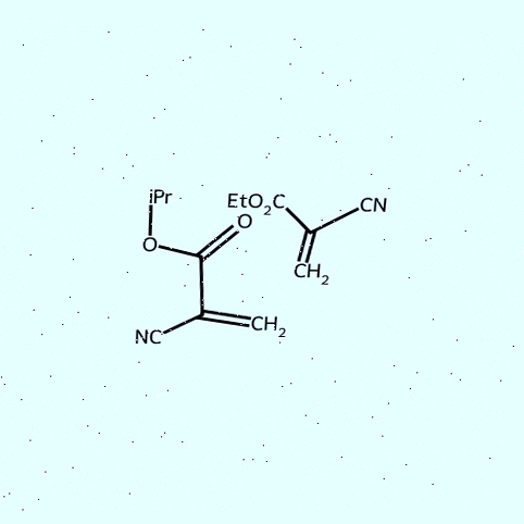 C=C(C#N)C(=O)OC(C)C.C=C(C#N)C(=O)OCC